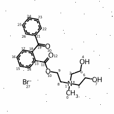 C[N+](CCO)(CCO)CCOC(=O)c1ccccc1C(=O)c1ccccc1.[Br-]